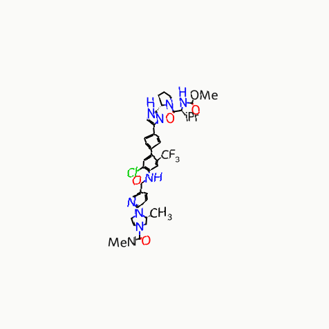 CNC(=O)N1CCN(c2ccc(C(=O)Nc3cc(C(F)(F)F)c(-c4ccc(-c5c[nH]c([C@@H]6CCCN6C(=O)[C@@H](NC(=O)OC)C(C)C)n5)cc4)cc3Cl)cn2)[C@H](C)C1